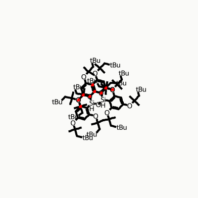 CC(C)(C)CC(C)(C)Oc1cc(OC(C)(C)CC(C)(C)C)c([SiH](O[SiH](c2c(OC(C)(C)CC(C)(C)C)cc(OC(C)(C)CC(C)(C)C)cc2OC(C)(C)CC(C)(C)C)c2c(OC(C)(C)CC(C)(C)C)cc(OC(C)(C)CC(C)(C)C)cc2OC(C)(C)CC(C)(C)C)c2c(OC(C)(C)CC(C)(C)C)cc(OC(C)(C)CC(C)(C)C)cc2OC(C)(C)CC(C)(C)C)c(OC(C)(C)CC(C)(C)C)c1